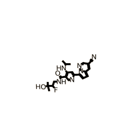 CC(C)Nc1cc(-c2ccc3cc(C#N)cnn23)ncc1C(=O)NCC(F)C(C)(C)O